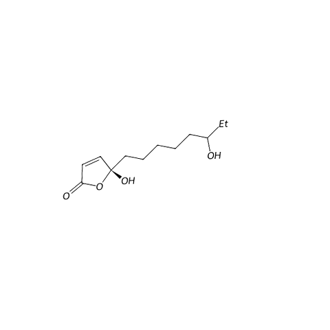 CCC(O)CCCCC[C@@]1(O)C=CC(=O)O1